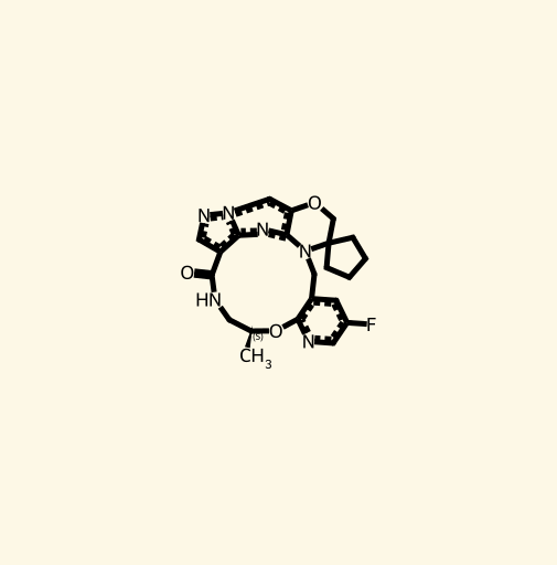 C[C@H]1CNC(=O)c2cnn3cc4c(nc23)N(Cc2cc(F)cnc2O1)C1(CCCC1)CO4